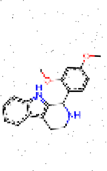 COc1ccc(C2NCCc3c2[nH]c2ccccc32)c(OC)c1